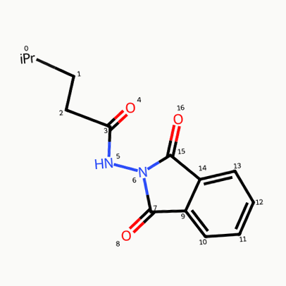 CC(C)CCC(=O)NN1C(=O)c2ccccc2C1=O